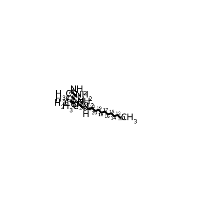 C=CC.C=CC.CC(N)CN.CCCCCCCCCCCCNCC(C)N